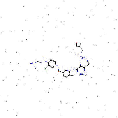 Cc1ccc(C(=O)Nc2ccc(N(C)CCN(C)C)c(C(F)(F)F)c2)cc1Nc1ncnc2c1N=C(NCC1CCOC1)N=CC2